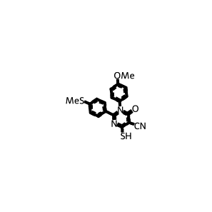 COc1ccc(-n2c(-c3ccc(SC)cc3)nc(S)c(C#N)c2=O)cc1